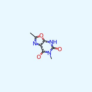 Cc1nc2c(=O)n(C)c(=O)[nH]c2o1